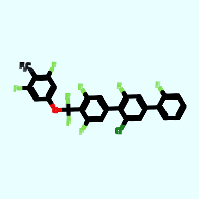 Fc1ccccc1-c1cc(F)c(-c2cc(F)c(C(F)(F)Oc3cc(F)c(C(F)(F)F)c(F)c3)c(F)c2)c(Cl)c1